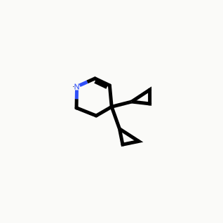 C1=CC(C2CC2)(C2CC2)CC[N]1